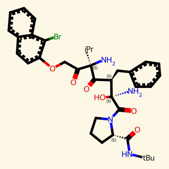 CC(C)[C@@](N)(C(=O)COc1ccc2ccccc2c1Br)C(=O)[C@@H](Cc1ccccc1)[C@](N)(O)C(=O)N1CCC[C@H]1C(=O)NC(C)(C)C